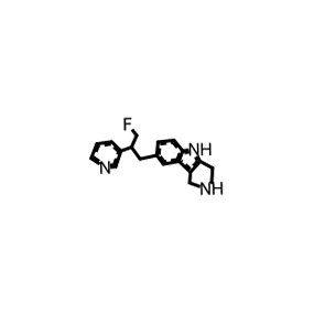 FCC(Cc1ccc2[nH]c3c(c2c1)CNCC3)c1cccnc1